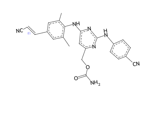 Cc1cc(/C=C/C#N)cc(C)c1Nc1cc(COC(N)=O)nc(Nc2ccc(C#N)cc2)n1